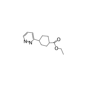 CCOC(=O)C1CCC(c2cccnn2)CC1